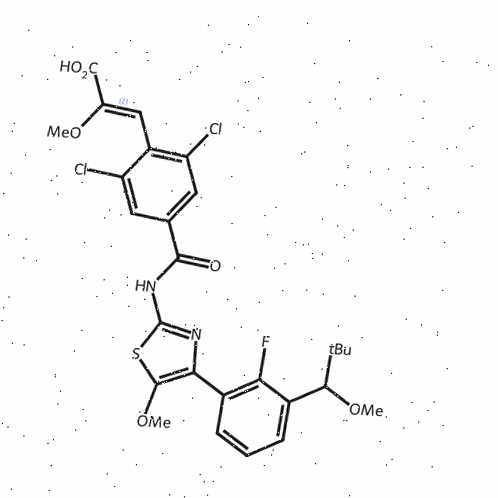 CO/C(=C\c1c(Cl)cc(C(=O)Nc2nc(-c3cccc(C(OC)C(C)(C)C)c3F)c(OC)s2)cc1Cl)C(=O)O